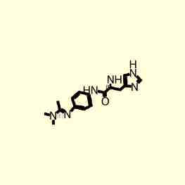 C/C(=N\c1ccc(NC(=O)[C@@H](N)Cc2c[nH]cn2)cc1)N(C)C